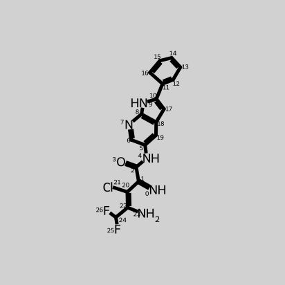 N=C(C(=O)Nc1cnc2[nH]c(-c3ccccc3)cc2c1)/C(Cl)=C(\N)C(F)F